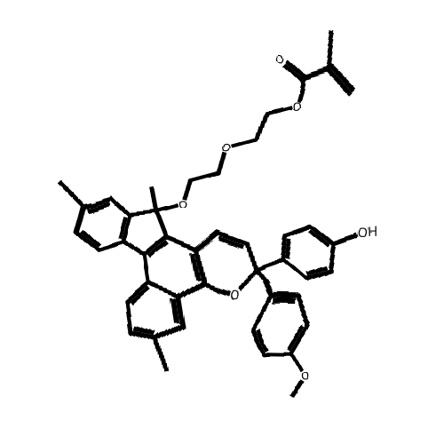 C=C(C)C(=O)OCCOCCOC1(C)c2cc(C)ccc2-c2c1c1c(c3cc(C)ccc23)OC(c2ccc(O)cc2)(c2ccc(OC)cc2)C=C1